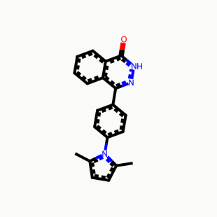 Cc1ccc(C)n1-c1ccc(-c2n[nH]c(=O)c3ccccc23)cc1